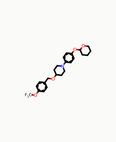 FC(F)(F)Oc1ccc(COC2CCN(c3ccc(OC4CCCCO4)cc3)CC2)cc1